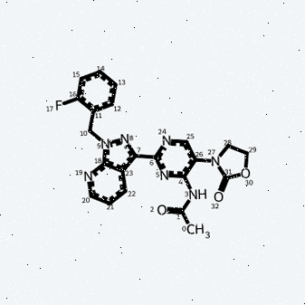 CC(=O)Nc1nc(-c2nn(Cc3ccccc3F)c3ncccc23)ncc1N1CCOC1=O